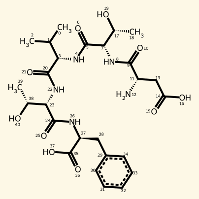 CC(C)[C@H](NC(=O)[C@@H](NC(=O)[C@@H](N)CC(=O)O)[C@@H](C)O)C(=O)N[C@H](C(=O)N[C@@H](Cc1ccccc1)C(=O)O)[C@@H](C)O